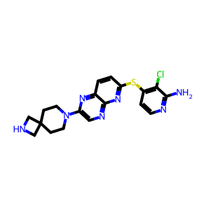 Nc1nccc(Sc2ccc3nc(N4CCC5(CC4)CNC5)cnc3n2)c1Cl